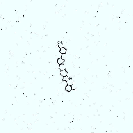 COc1cccc(-c2ccc(CN3Cc4nc(-c5cccc(F)c5F)[nH]c4C=N3)nn2)c1